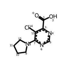 O=C(O)c1ncnc(N2CCCC2)c1Cl